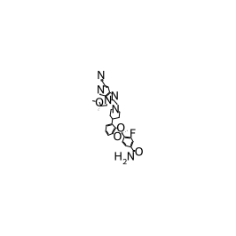 CO[C@@H](C)Cn1c(CN2CCC(c3cccc4c3O[C@@](C)(c3ccc(C(N)=O)cc3F)O4)CC2)nc2cc(C#N)ncc21